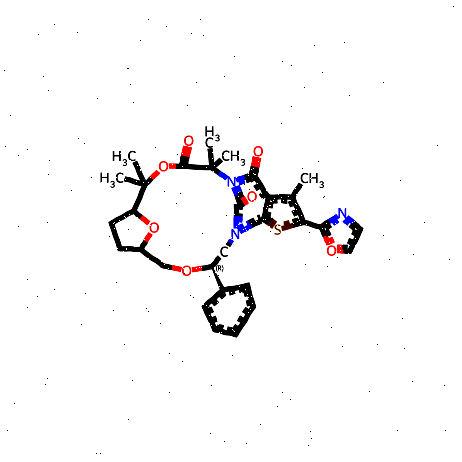 Cc1c(-c2ncco2)sc2c1c(=O)n1c(=O)n2C[C@@H](c2ccccc2)OCC2CCC(O2)C(C)(C)OC(=O)C1(C)C